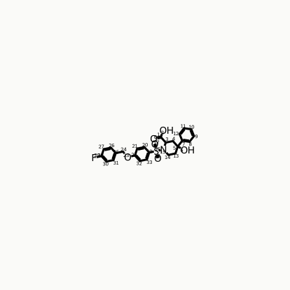 O=C(O)C1CC(O)(c2ccccc2)CCN1S(=O)(=O)c1ccc(OCc2ccc(F)cc2)cc1